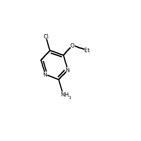 CCOc1nc(N)ncc1Cl